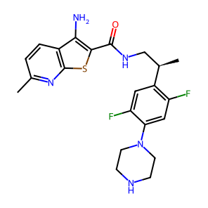 Cc1ccc2c(N)c(C(=O)NC[C@@H](C)c3cc(F)c(N4CCNCC4)cc3F)sc2n1